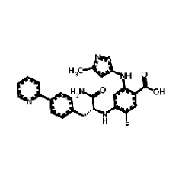 Cc1cc(Nc2cc(N[C@H](Cc3ccc(-c4ccccn4)cc3)C(N)=O)c(F)cc2C(=O)O)sn1